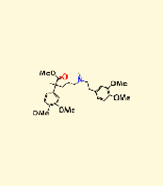 COC(=O)C(C)(CCCN(C)CCc1ccc(OC)c(OC)c1)c1ccc(OC)c(OC)c1